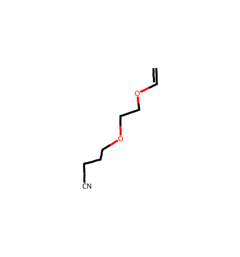 C=COCCOCCCC#N